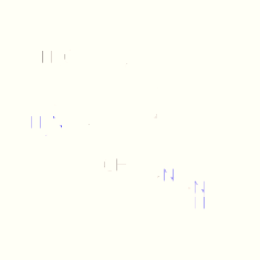 Cc1ccc(-c2cc[nH]n2)c(C)c1N